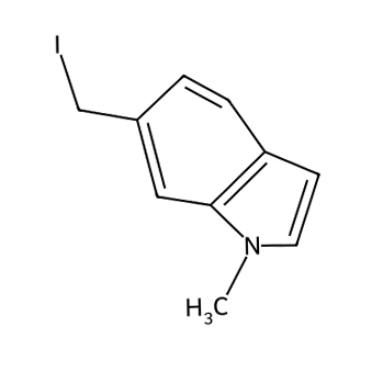 Cn1ccc2ccc(CI)cc21